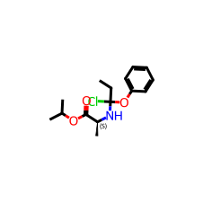 CCC(Cl)(N[C@@H](C)C(=O)OC(C)C)Oc1ccccc1